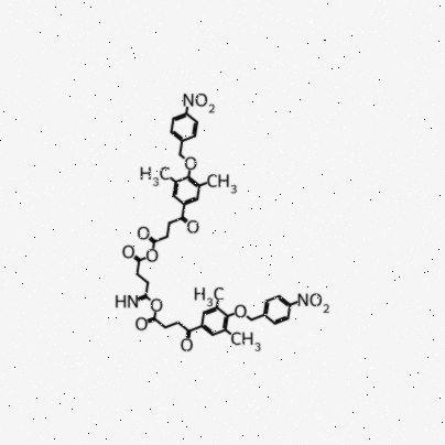 Cc1cc(C(=O)CCC(=O)OC(=N)CCC(=O)OC(=O)CCC(=O)c2cc(C)c(OCc3ccc([N+](=O)[O-])cc3)c(C)c2)cc(C)c1OCc1ccc([N+](=O)[O-])cc1